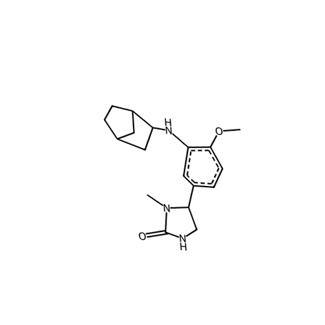 COc1ccc(C2CNC(=O)N2C)cc1NC1CC2CCC1C2